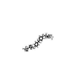 Cc1nnc(-c2cnc(Oc3ccc(C(C)(C)c4ccc(OC5CC(N)(N)C5)cc4)cc3)o2)o1